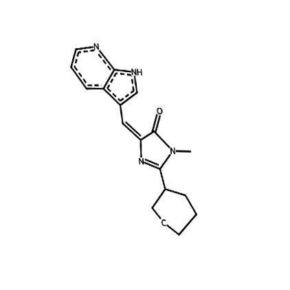 CN1C(=O)C(=Cc2c[nH]c3ncccc23)N=C1C1CCCCC1